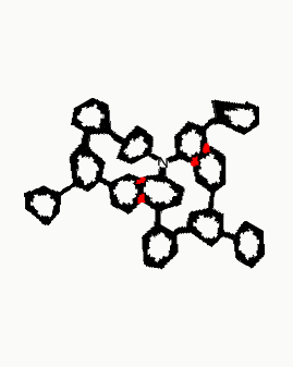 c1ccc(-c2ccc(N(c3ccc(-c4ccccc4-c4cc(-c5ccccc5)cc(-c5ccccc5)c4)cc3)c3ccc(-c4ccccc4-c4cc(-c5ccccc5)cc(-c5ccccc5)c4)cc3)cc2)cc1